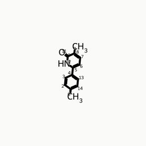 Cc1ccc(-c2ccc(C)c(=O)[nH]2)cc1